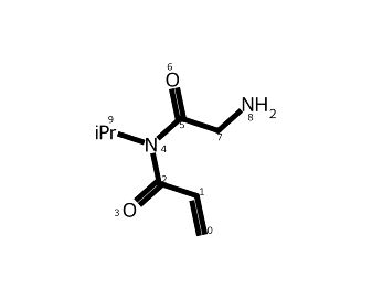 C=CC(=O)N(C(=O)CN)C(C)C